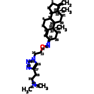 C=C1CCC2C3CCC4=CC(=NOCCn5cc(CCN(C)C)nn5)CC[C@]4(C)C3CC[C@]12C